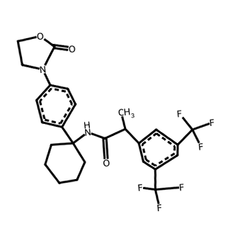 CC(C(=O)NC1(c2ccc(N3CCOC3=O)cc2)CCCCC1)c1cc(C(F)(F)F)cc(C(F)(F)F)c1